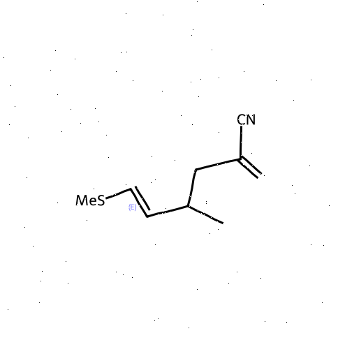 C=C(C#N)CC(C)/C=C/SC